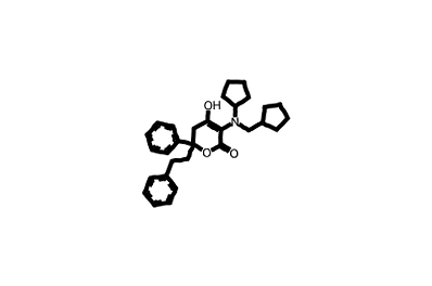 O=C1OC(CCc2ccccc2)(c2ccccc2)CC(O)=C1N(CC1CCCC1)C1CCCC1